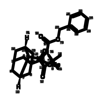 COC(=O)C12CC3C[C@H](C1)C(N1C(=O)C(C)(C)N1C(=O)OCc1ccccc1)[C@@H](C3)C2